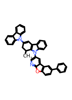 CC1CC(n2c3ccccc3c3ccccc32)=Cc2c1n(-c1cnc3oc4ccc(-c5ccccc5)cc4c3c1)c1ccccc21